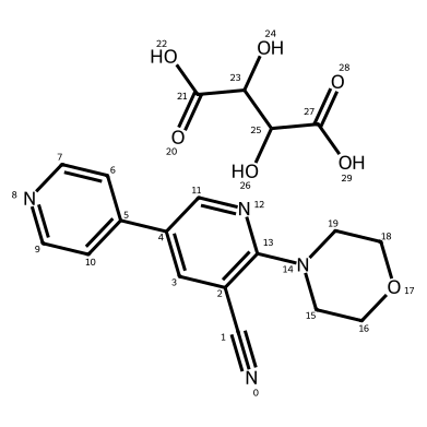 N#Cc1cc(-c2ccncc2)cnc1N1CCOCC1.O=C(O)C(O)C(O)C(=O)O